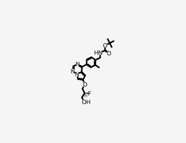 Cc1cc(-c2ncnn3cc(OC[C@@H](F)CO)cc23)ccc1CNC(=O)OC(C)(C)C